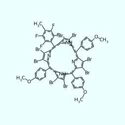 COc1ccc(-c2c3nc(c(-c4ccc(OC)cc4)c4[nH]c(c(Br)c4Br)c(-c4c(F)c(F)c(C)c(F)c4F)c4nc(c(-c5ccc(OC)cc5)c5[nH]c2c(Br)c5Br)C(Br)=C4Br)C(Br)=C3Br)cc1